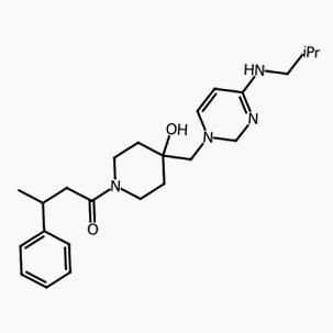 CC(C)CNC1=NCN(CC2(O)CCN(C(=O)CC(C)c3ccccc3)CC2)C=C1